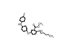 CCCCCNc1ccc(Oc2ccc(Nc3ccc(F)cc3)cc2)cc1C(=O)OC